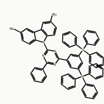 CC(C)(C)c1ccc2c(c1)c1cc(C(C)(C)C)ccc1n2-c1nc(-c2ccccc2)nc(-c2cc([Si](c3ccccc3)(c3ccccc3)c3ccccc3)cc([Si](c3ccccc3)(c3ccccc3)c3ccccc3)c2)n1